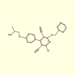 CC(O)COc1ccc(-c2c(C#N)c(Cl)nc(SCc3cccnc3)c2C#N)cc1